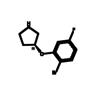 Fc1ccc(Br)c(O[C@H]2CCNC2)c1